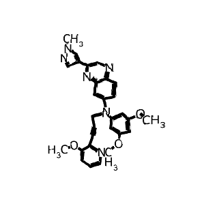 COc1cc(OC)cc(N(CC#Cc2ncccc2OC)c2ccc3ncc(-c4cnn(C)c4)nc3c2)c1